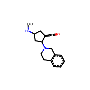 O=C=C1CC(NC(=O)O)CC1N1CCc2ccccc2C1